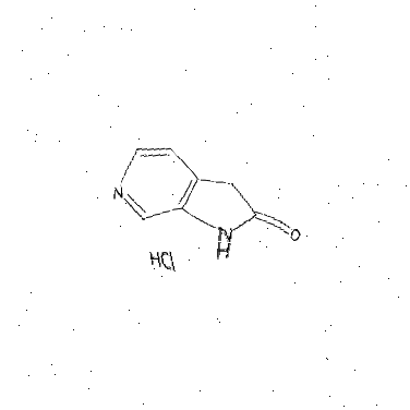 Cl.O=C1Cc2ccncc2N1